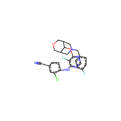 N#Cc1ccc(Nc2ncnc(OC3C4COCC3CN(Cc3ccc(F)cc3)C4)c2F)c(Cl)c1